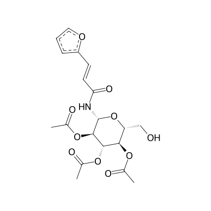 CC(=O)O[C@@H]1[C@@H](OC(C)=O)[C@H](NC(=O)C=Cc2ccco2)O[C@H](CO)[C@H]1OC(C)=O